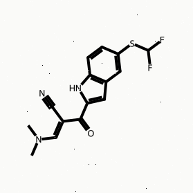 CN(C)/C=C(\C#N)C(=O)c1cc2cc(SC(F)F)ccc2[nH]1